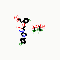 O=C(O)C(F)(F)F.O=C(O)C(F)(F)F.O=C(O)CCc1ccc(F)cc1OC[C@@H](O)CNC1CCN(Cc2ccc(Cl)cc2)CC1